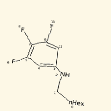 CCCCCCCNc1cc(F)c(F)c(F)c1